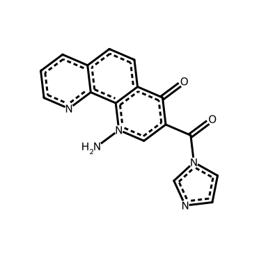 Nn1cc(C(=O)n2ccnc2)c(=O)c2ccc3cccnc3c21